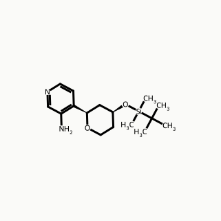 CC(C)(C)[Si](C)(C)O[C@H]1CCO[C@@H](c2ccncc2N)C1